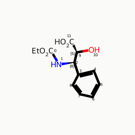 CCOC(=O)N[C@H](c1ccccc1)[C@H](O)C(=O)O